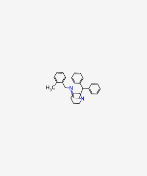 Cc1ccccc1CN=C1C2CCN(CC2)C1C(c1ccccc1)c1ccccc1